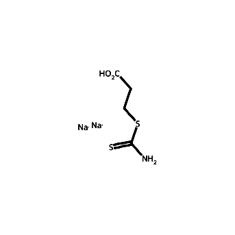 NC(=S)SCCC(=O)O.[Na].[Na]